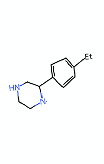 CCc1ccc(C2CNCC[N]2)cc1